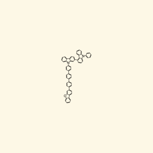 c1ccc(-n2c3ccccc3c3c(-c4ccc5c6ccccc6n(-c6ccc(-c7ccc(-c8ccc(-c9ccc%10c(c9)oc9ccccc9%10)cc8)cc7)cc6)c5c4)cccc32)cc1